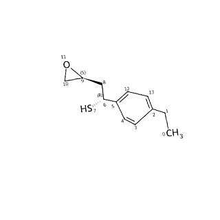 CCc1ccc([C@H](S)C[C@H]2CO2)cc1